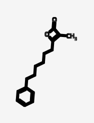 CC1=C(CCCCCCc2ccccc2)OC1=O